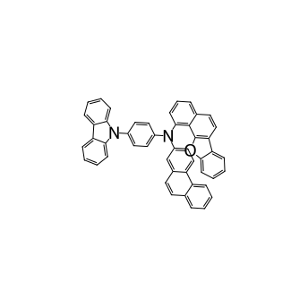 c1ccc2c(c1)ccc1cc(N(c3ccc(-n4c5ccccc5c5ccccc54)cc3)c3cccc4ccc5c6ccccc6oc5c34)ccc12